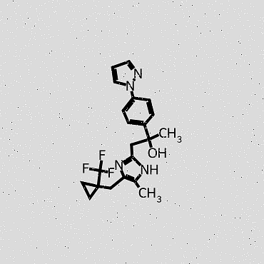 Cc1[nH]c(CC(C)(O)c2ccc(-n3cccn3)cc2)nc1CC1(C(F)(F)F)CC1